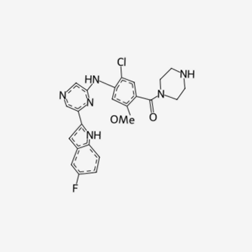 COc1cc(Nc2cncc(-c3cc4cc(F)ccc4[nH]3)n2)c(Cl)cc1C(=O)N1CCNCC1